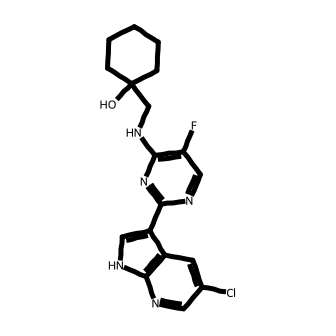 OC1(CNc2nc(-c3c[nH]c4ncc(Cl)cc34)ncc2F)CCCCC1